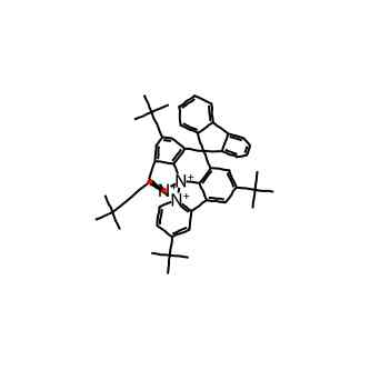 CC(C)(C)c1cc2c3c(c1)C1(c4ccccc4-c4ccccc41)c1cc(C(C)(C)C)cc4c1[N+]3([n+]1ccc(C(C)(C)C)cc1-2)[n+]1ccc(C(C)(C)C)cc1-4